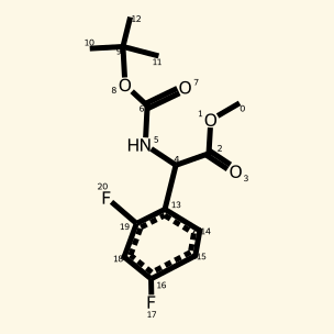 COC(=O)C(NC(=O)OC(C)(C)C)c1ccc(F)cc1F